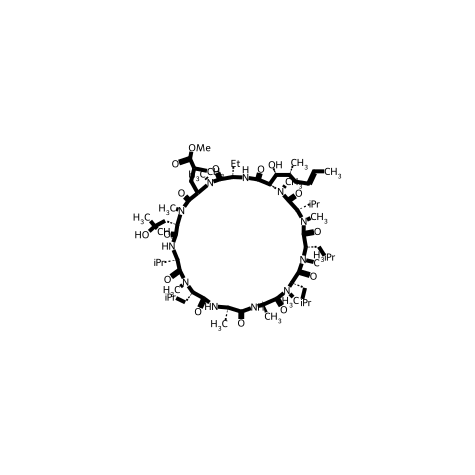 C/C=C/C[C@@H](C)[C@@H](O)[C@H]1C(=O)N[C@@H](CC)C(=O)N(C)C(CC(C)C(=O)OC)C(=O)N(C)[C@@H](CC(C)(C)O)C(=O)N[C@@H](C(C)C)C(=O)N(C)[C@@H](CC(C)C)C(=O)N[C@@H](C)C(=O)N[C@H](C)C(=O)N(C)[C@@H](CC(C)C)C(=O)N(C)[C@@H](CC(C)C)C(=O)N(C)[C@@H](C(C)C)C(=O)N1C